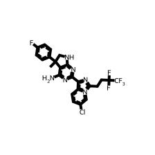 CC1(c2ccc(F)cc2)CNc2nc(-c3nc(CCC(F)(F)C(F)(F)F)n4cc(Cl)ccc34)nc(N)c21